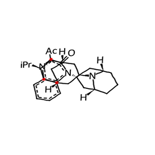 CC(=O)c1nc2ccccc2n([C@H]2C[C@H]3CCC[C@@H](C2)N3[C@@H]2C[C@@H]3C[C@@H](C[C@@H](C(C)C)C3)C2)c1=O